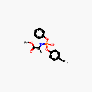 CC(C)OC(=O)[C@H](C)N[PH](O)(Oc1ccccc1)Oc1ccc([N+](=O)[O-])cc1